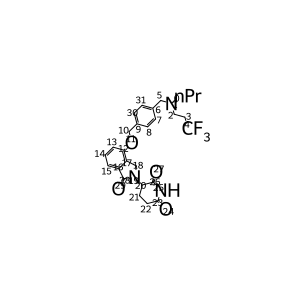 CCCN(CCC(F)(F)F)Cc1ccc(COc2cccc3c2CN(C2CCC(=O)NC2=O)C3=O)cc1